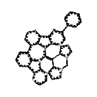 c1ccc(-c2cnc3c(n2)c2cccc4c5cccc6c7nccnc7n(c(=C7c8cccn8Cn8cccc87)n3c42)c56)cc1